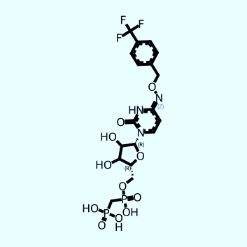 O=c1[nH]/c(=N\OCc2ccc(C(F)(F)F)cc2)ccn1[C@@H]1O[C@H](COP(=O)(O)CP(=O)(O)O)C(O)C1O